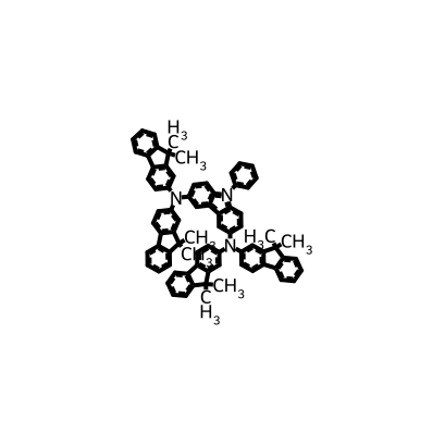 CC1(C)c2ccccc2-c2ccc(N(c3ccc4c(c3)C(C)(C)c3ccccc3-4)c3ccc4c(c3)c3cc(N(c5ccc6c(c5)C(C)(C)c5ccccc5-6)c5ccc6c(c5)C(C)(C)c5ccccc5-6)ccc3n4-c3ccccc3)cc21